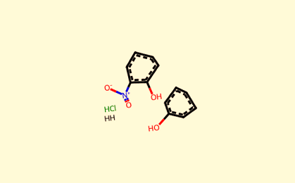 Cl.O=[N+]([O-])c1ccccc1O.Oc1ccccc1.[HH]